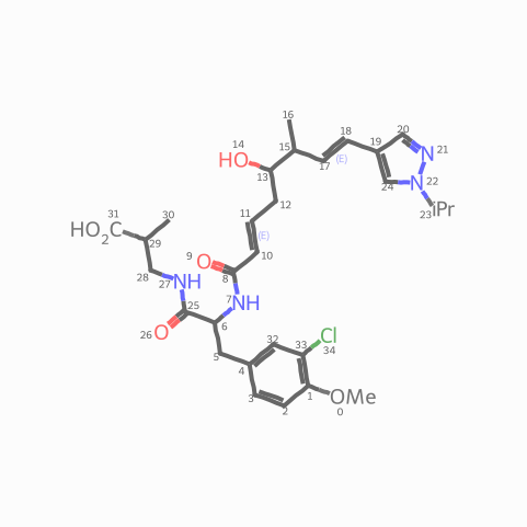 COc1ccc(CC(NC(=O)/C=C/CC(O)C(C)/C=C/c2cnn(C(C)C)c2)C(=O)NCC(C)C(=O)O)cc1Cl